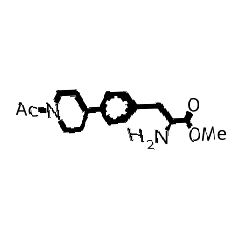 COC(=O)[C@@H](N)Cc1ccc(C2=CCN(C(C)=O)CC2)cc1